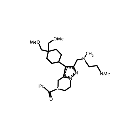 CNCCN(C)Cc1nn2c(c1C1CCC(COC)(COC)CC1)CN(C(=O)C(C)C)CC2